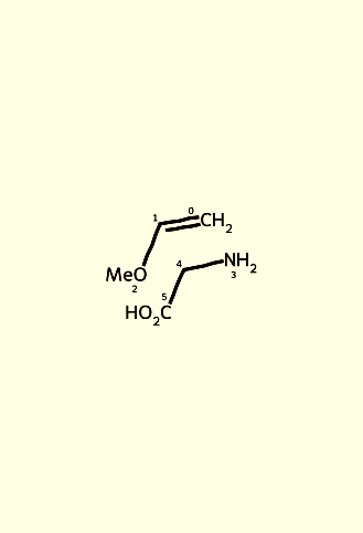 C=COC.NCC(=O)O